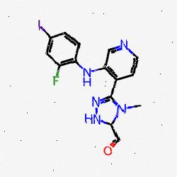 CN1C(c2ccncc2Nc2ccc(I)cc2F)=NNC1C=O